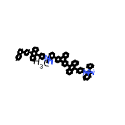 Cc1nc2c(-c3ccc4c5ccc(-c6c7ccccc7c(-c7ccc(-n8c(-c9ccccc9)nc9ccccc98)cc7)c7ccccc67)cc5c5ccccc5c4c3)cccc2n1-c1ccc(-c2c3ccccc3c(-c3ccc(-c4cccc5ccccc45)cc3)c3ccccc23)cc1